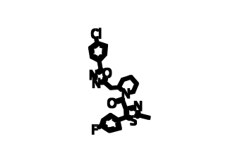 Cc1nc(C(=O)N2CCCCC2Cc2nnc(-c3ccc(Cl)cc3)o2)c(-c2ccc(F)cc2)s1